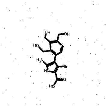 Nc1[nH]c(C(=O)O)c(Br)c1-c1ccc(CO)c(CO)c1CO